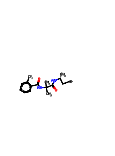 CC(C)C[C@@H](C)NC(=O)C(C)(C)NC(=O)c1ccccc1C(F)(F)F